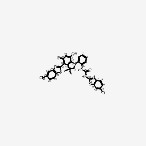 CC1(C)CN(c2ccccc2NC(=O)Nc2nc3ccc(Cl)cc3s2)c2c(O)cc(F)c(-c3nc4cc(Cl)ccc4s3)c21